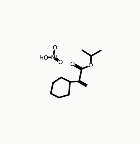 C=C(C(=O)OC(C)C)C1CCCCC1.O=[N+]([O-])O